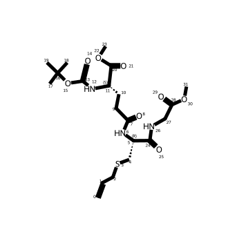 C=CCSC[C@H](NC(=O)CC[C@H](NC(=O)OC(C)(C)C)C(=O)OC)C(=O)NCC(=O)OC